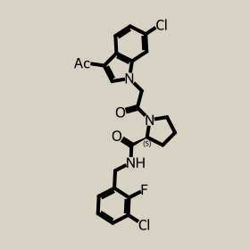 CC(=O)c1cn(CC(=O)N2CCC[C@H]2C(=O)NCc2cccc(Cl)c2F)c2cc(Cl)ccc12